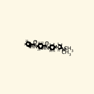 CN(C)C1CCN(c2ccc(NC(=O)c3ccc(NC(=O)C4CC5CCC4C5)cc3)cc2)C1